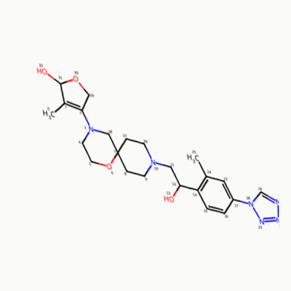 CC1=C(N2CCOC3(CCN(CC(O)c4ccc(-n5cnnn5)cc4C)CC3)C2)COC1O